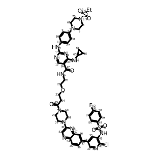 CCS(=O)(=O)N1CCN(c2ccc(Nc3ncc(C(=O)NCCOCCC(=O)N4CCN(c5cnc6ccc(-c7cnc(Cl)c(NS(=O)(=O)c8ccc(F)cc8)c7)cc6n5)CC4)c(NC4CC4)n3)cc2)CC1